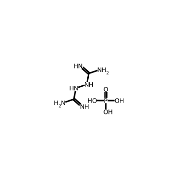 N=C(N)NNC(=N)N.O=P(O)(O)O